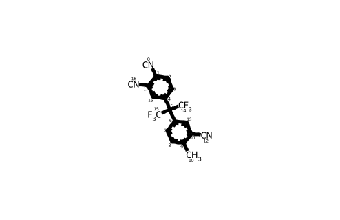 [C-]#[N+]c1ccc(C(c2ccc(C)c(C#N)c2)(C(F)(F)F)C(F)(F)F)cc1[N+]#[C-]